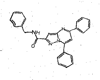 O=C(NCc1ccccc1)c1cc2nc(-c3ccccc3)cc(-c3ccccc3)n2n1